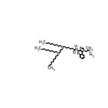 CCCCCCCCCN(CCCCCCCCC)CCCN(CCCCCCCCC)CCCCCC(=O)Nc1nc2ccccc2c2c1ncn2CC(C)C